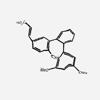 COc1cc(OC)cc(-c2ccccc2-c2cc(C=CC(=O)O)ccc2O)c1